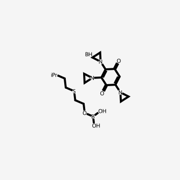 B.CC(C)CCSCCOB(O)O.O=C1C=C(N2CC2)C(=O)C(N2CC2)=C1N1CC1